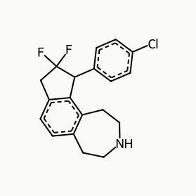 FC1(F)Cc2ccc3c(c2C1c1ccc(Cl)cc1)CCNCC3